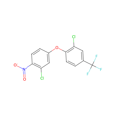 O=[N+]([O-])c1ccc(Oc2ccc(C(F)(F)F)cc2Cl)cc1Cl